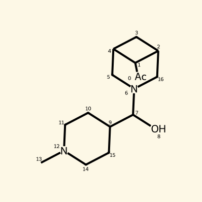 CC(=O)C1C2CC1CN(C(O)C1CCN(C)CC1)C2